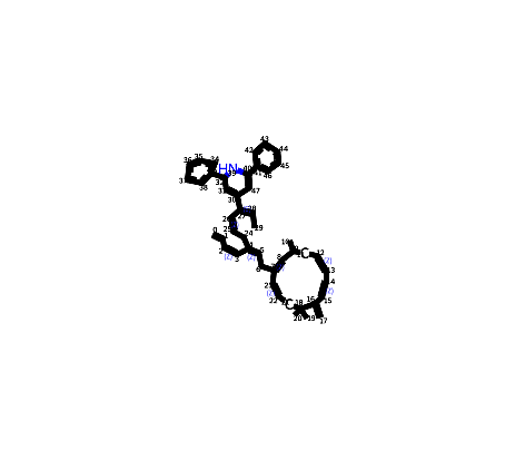 C=C/C=C\C(=C/CC1=C/C(C)C/C=C\C=C/C(=C)C(C)(C)C/C=C\1)C/C=C\C(=C/C)C1=CC(c2ccccc2)NC(c2ccccc2)=C1